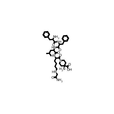 CC(C)CC(NC(=O)C(Cc1ccccc1)NC(=O)C(N)Cc1ccccc1)C(=O)NC(CCCCNCC(N)=O)C(=O)N1CCC(N)(C(=O)O)CC1